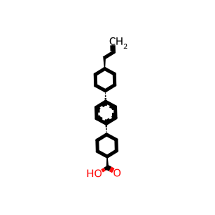 C=CC[C@H]1CC[C@H](c2ccc([C@H]3CC[C@H](C(=O)O)CC3)cc2)CC1